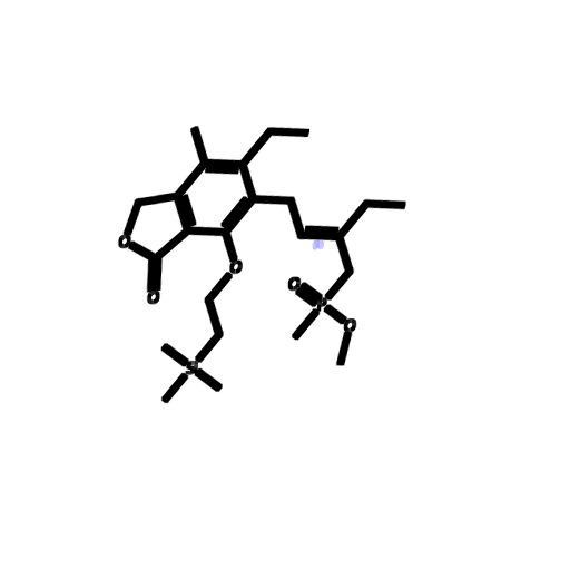 CC/C(=C\Cc1c(CC)c(C)c2c(c1OCC[Si](C)(C)C)C(=O)OC2)CP(C)(=O)OC